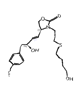 O=C1OC[C@H](/C=C/[C@@H](O)Cc2ccc(F)cc2)N1CCSCCCCO